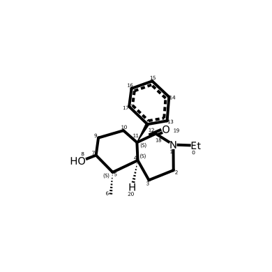 CCN1CC[C@H]2[C@H](C)C(O)CC[C@]2(c2ccccc2)C1=O